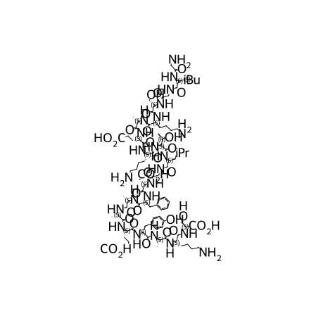 CC[C@H](C)[C@H](NC(=O)CN)C(=O)NCC(=O)N[C@@H](CO)C(=O)N[C@@H](CCCCN)C(=O)N[C@@H](C)C(=O)N[C@@H](CCC(=O)O)C(=O)N[C@@H](CCCCN)C(=O)N[C@H](C(=O)N[C@@H](CC(C)C)C(=O)NCC(=O)N[C@@H](CC(=O)O)C(=O)N[C@@H](Cc1ccccc1)C(=O)N[C@@H](C)C(=O)N[C@@H](C)C(=O)N[C@@H](CCC(=O)O)C(=O)N[C@@H](Cc1ccc(O)cc1)C(=O)N[C@@H](C)C(=O)N[C@@H](CCCCN)C(=O)N[C@@H](CO)C(=O)O)[C@@H](C)O